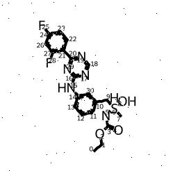 CCOC(=O)N=[SH](C)(O)Cc1cccc(Nc2ncnc(-c3ccc(F)cc3F)n2)c1